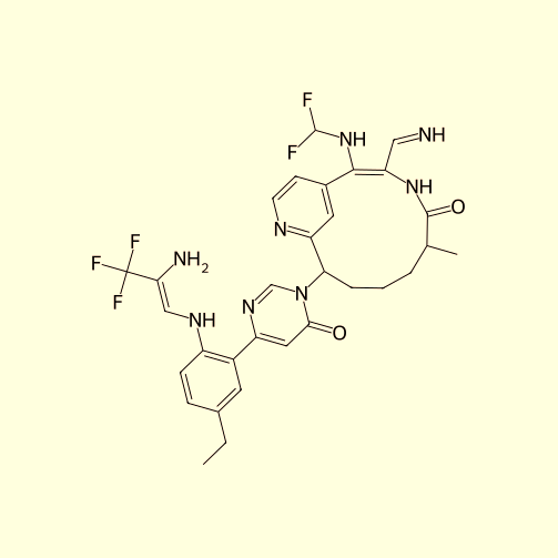 CCc1ccc(N/C=C(\N)C(F)(F)F)c(-c2cc(=O)n(C3CCCC(C)C(=O)N/C(C=N)=C(/NC(F)F)c4ccnc3c4)cn2)c1